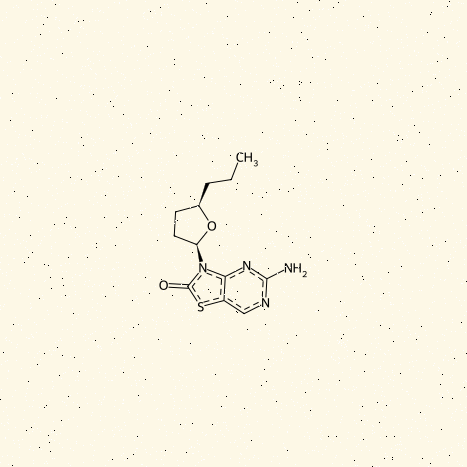 CCC[C@@H]1CC[C@H](n2c(=O)sc3cnc(N)nc32)O1